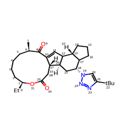 CC[C@H]1CCCC[C@@H](C)C(=O)C2=CC3[C@@H]4CCCC4[C@H](n4cc(C(C)(C)C)nn4)C[C@H]3[C@@H]2CC(=O)O1